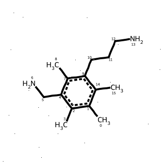 Cc1c(C)c(CN)c(C)c(CCCN)c1C